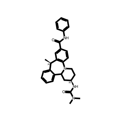 C[C@@H]1c2ccccc2C2C[C@H](NC(=O)N(C)C)CCN2c2ccc(C(=O)Nc3ccccc3)cc21